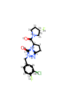 O=C(C1CCc2nn(Cc3ccc(F)c(Cl)c3)c(=O)n21)N1CC[C@H](F)C1